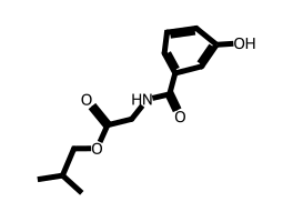 CC(C)COC(=O)CNC(=O)c1cccc(O)c1